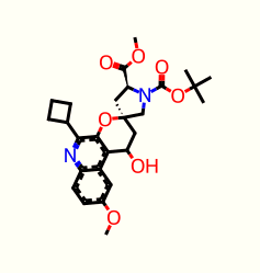 COC(=O)[C@@H]1C[C@@]2(CC(O)c3c(c(C4CCC4)nc4ccc(OC)cc34)O2)CN1C(=O)OC(C)(C)C